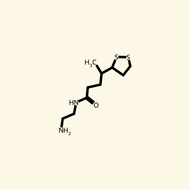 CC(CCC(=O)NCCN)C1CCSS1